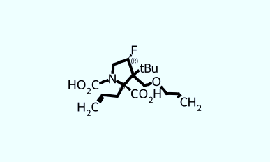 C=CCOCC1(C(C)(C)C)[C@@H](F)CN(C(=O)O)[C@]1(CC=C)C(=O)O